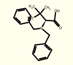 CC(C)(C)[C@@H](C(=O)O)N(Cc1ccccc1)Cc1ccccc1